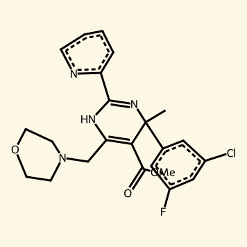 COC(=O)C1=C(CN2CCOCC2)NC(c2ccccn2)=NC1(C)c1cc(F)cc(Cl)c1